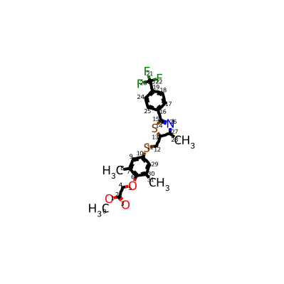 COC(=O)COc1c(C)cc(SCC2SC(c3ccc(C(F)(F)F)cc3)=NC2C)cc1C